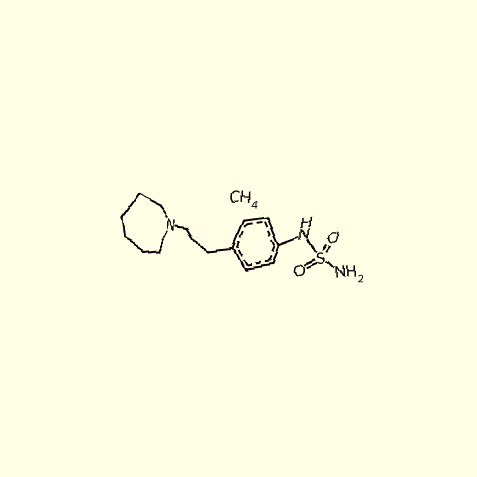 C.NS(=O)(=O)Nc1ccc(CCN2CCCCCC2)cc1